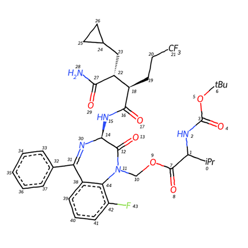 CC(C)C(NC(=O)OC(C)(C)C)C(=O)OCN1C(=O)[C@H](NC(=O)[C@H](CCC(F)(F)F)[C@@H](CC2CC2)C(N)=O)N=C(c2ccccc2)c2cccc(F)c21